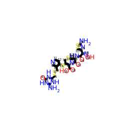 N=C(N)NC(CSCc1cnccc1SC1=C(C(=O)O)N2C(=O)[C@@H](NC(=O)/C(=N\O)c3csc(N)n3)[C@@H]2SC1)NC=O